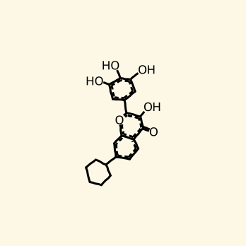 O=c1c(O)c(-c2cc(O)c(O)c(O)c2)oc2cc(C3CCCCC3)ccc12